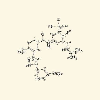 Cc1ccc(C(=O)Nc2cc(CNC(C)C)c(F)c(C(F)(F)F)c2)cc1-n1cc(-c2cncc(C#N)c2)nn1